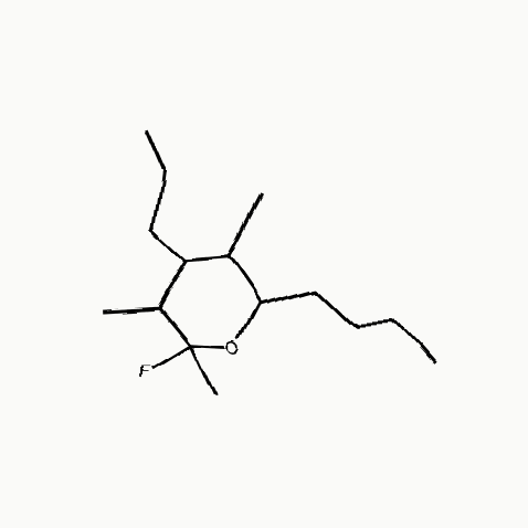 CCCCC1OC(C)(F)C(C)C(CCC)C1C